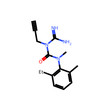 C#CCN(C(=N)N)C(=O)N(C)c1c(C)cccc1CC